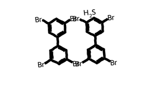 Brc1cc(Br)cc(-c2cc(Br)cc(Br)c2)c1.Brc1cc(Br)cc(-c2cc(Br)cc(Br)c2)c1.S